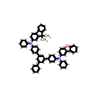 CC1(C)c2ccccc2-c2ccc(N(c3ccccc3)c3ccc(-c4cc(-c5ccccc5)cc(-c5ccc(N(c6ccccc6)c6ccc7oc8ccccc8c7c6)cc5)c4)cc3)cc21